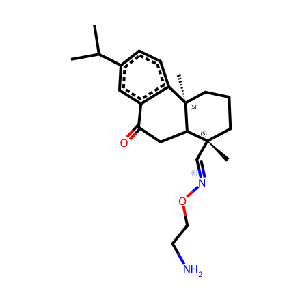 CC(C)c1ccc2c(c1)C(=O)CC1[C@@](C)(/C=N/OCCN)CCC[C@]21C